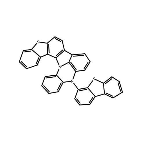 c1ccc2c(c1)N(c1cccc3c1sc1ccccc13)c1cccc3c4ccc5sc6ccccc6c5c4n-2c13